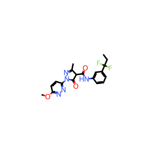 CCC(F)(F)c1cccc(NC(=O)C2C(=O)N(c3ccc(OC)nn3)N=C2C)c1